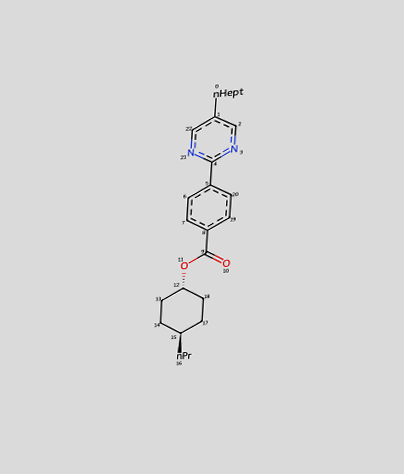 CCCCCCCc1cnc(-c2ccc(C(=O)O[C@H]3CC[C@H](CCC)CC3)cc2)nc1